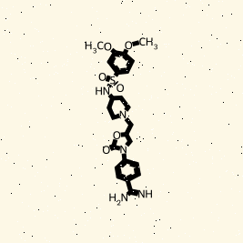 COc1ccc(S(=O)(=O)NC2CCN(CC3CN(c4ccc(C(=N)N)cc4)C(=O)O3)CC2)cc1OC